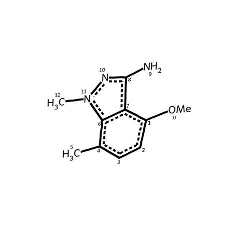 COc1ccc(C)c2c1c(N)nn2C